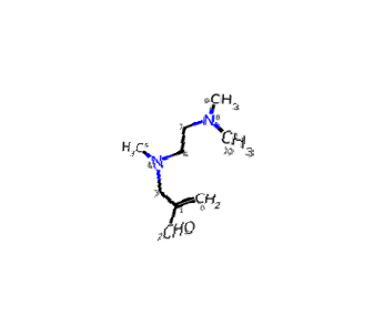 C=C(C=O)CN(C)CCN(C)C